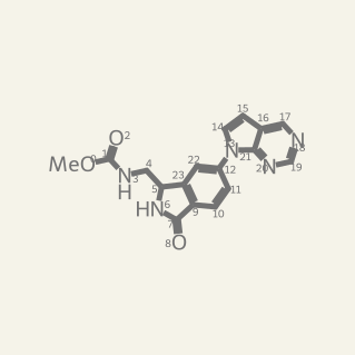 COC(=O)NCC1NC(=O)c2ccc(-n3ccc4cncnc43)cc21